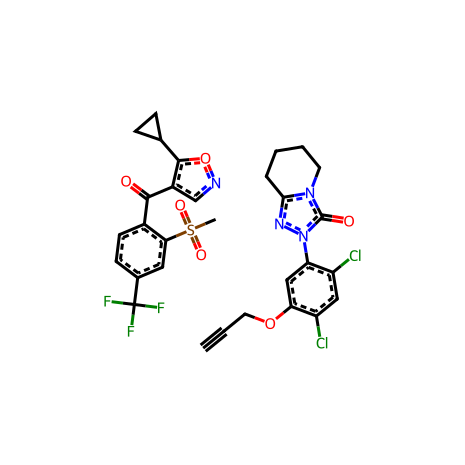 C#CCOc1cc(-n2nc3n(c2=O)CCCC3)c(Cl)cc1Cl.CS(=O)(=O)c1cc(C(F)(F)F)ccc1C(=O)c1cnoc1C1CC1